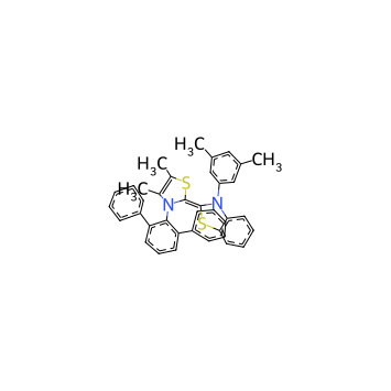 CC1=C(C)N(c2c(-c3ccccc3)cccc2-c2ccccc2)/C(=C2\Sc3ccccc3N2c2cc(C)cc(C)c2)S1